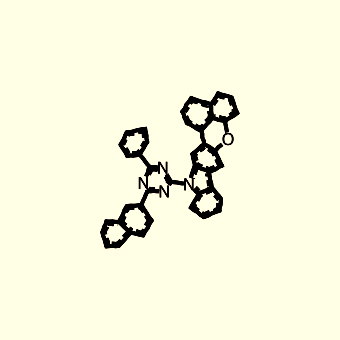 c1ccc(-c2nc(-c3ccc4ccccc4c3)nc(-n3c4ccccc4c4cc5c(cc43)-c3cccc4cccc(c34)O5)n2)cc1